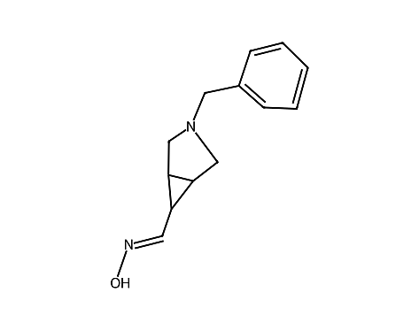 O/N=C/C1C2CN(Cc3ccccc3)CC12